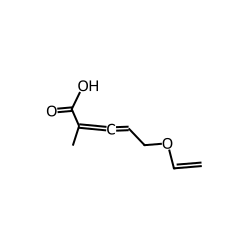 C=COCC=C=C(C)C(=O)O